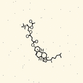 CC(=O)OC(COC(=O)CCC(=O)O[C@H]1CC[C@@]2(C)C(=CC[C@H]3[C@@H]4CC[C@H]([C@H](C)CCCC(C)C)[C@@]4(C)CC[C@@H]32)C1)C[N+](C)(C)C